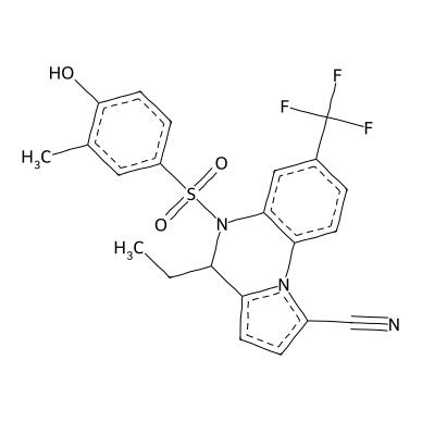 CCC1c2ccc(C#N)n2-c2ccc(C(F)(F)F)cc2N1S(=O)(=O)c1ccc(O)c(C)c1